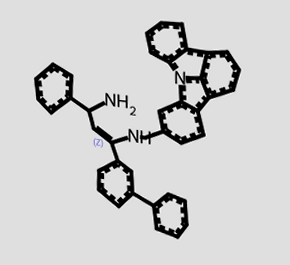 NC(/C=C(\NCc1ccc2c3cccc4c5ccccc5n(c2c1)c43)c1cccc(-c2ccccc2)c1)c1ccccc1